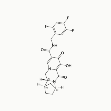 O=C(NCc1cc(F)c(F)cc1F)c1cn2c(c(O)c1=O)C(=O)N1[C@H]3CC[C@H](C3)[C@@H]1C2